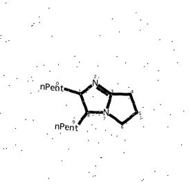 CCCCCC1N=C2CCCN2C1CCCCC